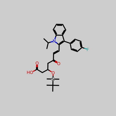 CC(C)n1c(/C=C/C(=O)CC(CC(=O)O)O[Si](C)(C)C(C)(C)C)c(-c2ccc(F)cc2)c2ccccc21